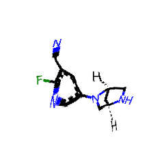 N#Cc1cc(N2C[C@H]3C[C@@H]2CN3)cnc1F